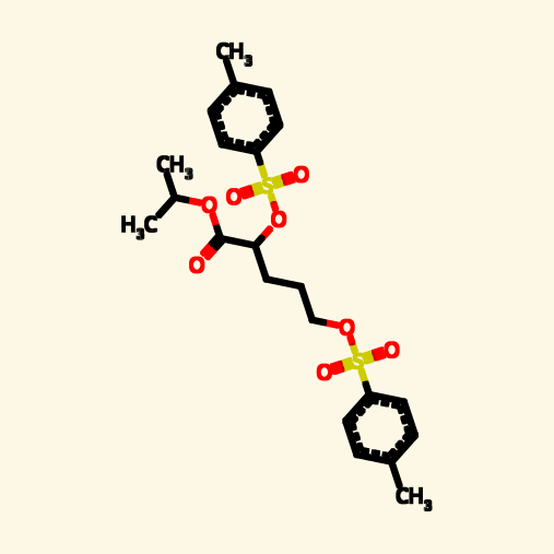 Cc1ccc(S(=O)(=O)OCCCC(OS(=O)(=O)c2ccc(C)cc2)C(=O)OC(C)C)cc1